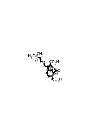 C[Si](C)(C)CCOCC1=C(C(=O)O)N2C(=O)[C@@H]3[C@H]2C1CCN3C(=O)O